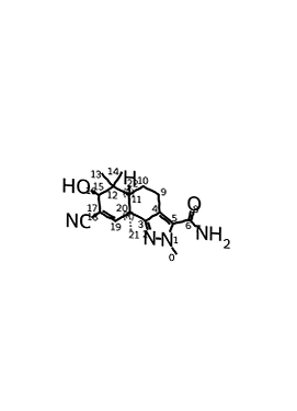 Cn1nc2c(c1C(N)=O)CC[C@H]1C(C)(C)C(O)C(C#N)=C[C@]21C